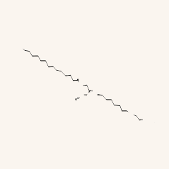 CCCCCCCCCCCC(=O)O[C@@H](COP=O)COC(=O)CCCCCCCCCCCCCS